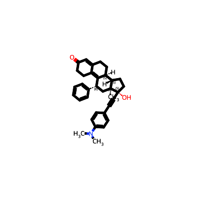 CN(C)c1ccc(C#C[C@]2(O)CC[C@H]3[C@@H]4CCC5=CC(=O)CCC5=C4[C@@H](c4ccccc4)C[C@@]32C)cc1